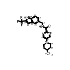 CC1CCN(c2cnc(C(=O)NCc3ccc4[nH]c(C(F)(F)F)cc4c3)nc2)CC1